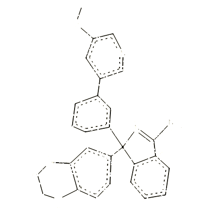 COc1cncc(-c2cccc(C3(c4ccc5c(c4)OCCO5)N=C(N)c4ccccc43)c2)c1